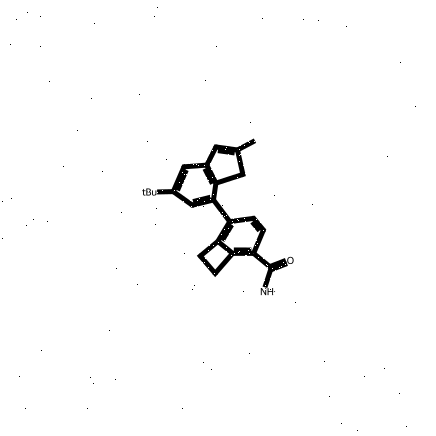 CC1=Cc2cc(C(C)(C)C)cc(-c3ccc(C([NH])=O)c4c3CC4)c2C1